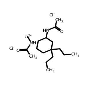 CC(=O)[NH][Ti+2].CCCC1(CCC)CCCC(NC(C)=O)C1.[Cl-].[Cl-]